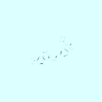 CCN(/N=C/c1ccc2[nH]c(=O)n(C3CCC3)c2c1)C1=NS(=O)(=O)c2cc(B(O)O)ccc21